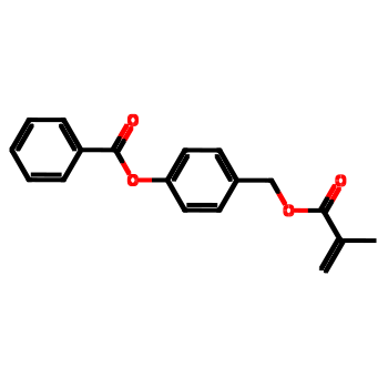 C=C(C)C(=O)OCc1ccc(OC(=O)c2ccccc2)cc1